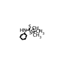 C[Si](C)(C)SC(=S)Nc1ccccc1